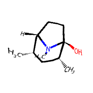 C[C@@H]1C[C@H](C)[C@@H]2CC[C@@]1(O)N2C